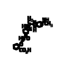 CC(=N)N1CCc2[nH]c(C(C)c3nc4c([nH]3)CCN(C(=O)NCCOc3ccccc3C(=O)O)C4)nc2C1